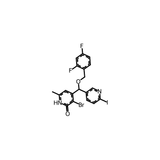 Cc1cc(C(OCc2ccc(F)cc2F)c2ccc(I)nc2)c(Br)c(=O)[nH]1